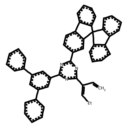 C=C/C(=C\CC)c1nc(-c2cc(-c3ccccc3)cc(-c3ccccc3)c2)nc(-c2ccc3c(c2)C2(c4ccccc4-c4ccccc42)c2ccccc2-3)n1